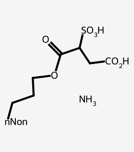 CCCCCCCCCCCCOC(=O)C(CC(=O)O)S(=O)(=O)O.N